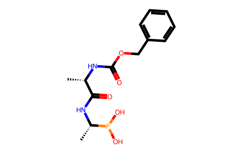 C[C@H](NC(=O)OCc1ccccc1)C(=O)N[C@@H](C)P(O)O